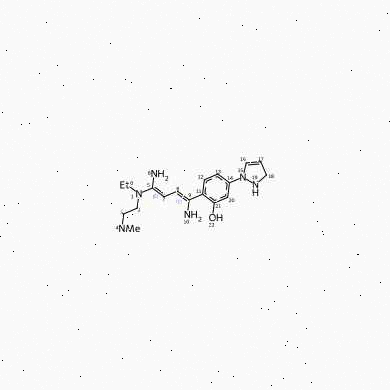 CCN(CCNC)/C(N)=C/C=C(\N)c1ccc(N2C=CCN2)cc1O